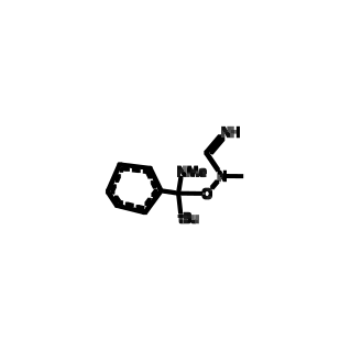 CNC(ON(C)C=N)(c1ccccc1)C(C)(C)C